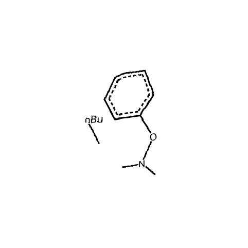 CCCCC.CN(C)Oc1ccccc1